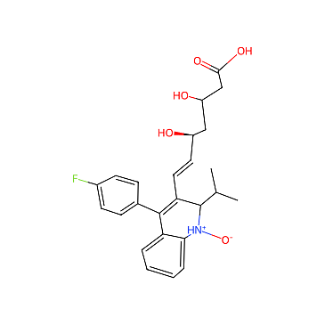 CC(C)C1C(/C=C/[C@@H](O)CC(O)CC(=O)O)=C(c2ccc(F)cc2)c2ccccc2[NH+]1[O-]